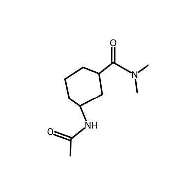 CC(=O)NC1CCCC(C(=O)N(C)C)C1